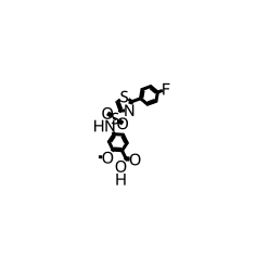 COc1cc(NS(=O)(=O)c2csc(-c3ccc(F)cc3)n2)ccc1C(=O)O